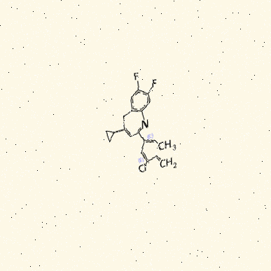 C=C/C(Cl)=C\C(=C/C)C1=Nc2cc(F)c(F)cc2CC(C2CC2)=C1